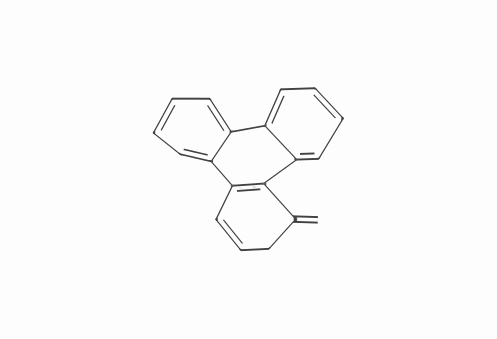 O=C1CC=Cc2c1c1ccccc1c1ccccc21